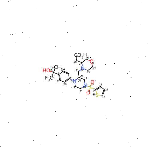 CC(O)(c1ccc(N2CCN(S(=O)(=O)c3cccs3)C[C@@H]2CN2CCOCC2CC(=O)O)cc1)C(F)(F)F